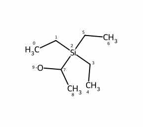 CC[Si](CC)(CC)C(C)[O]